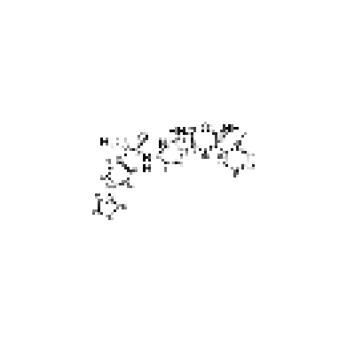 CC(C(=O)Nc1ccc2c(C=C(C(N)=O)c3ccccc3)c[nH]c2n1)c1ccc(N2CCCC2)cc1